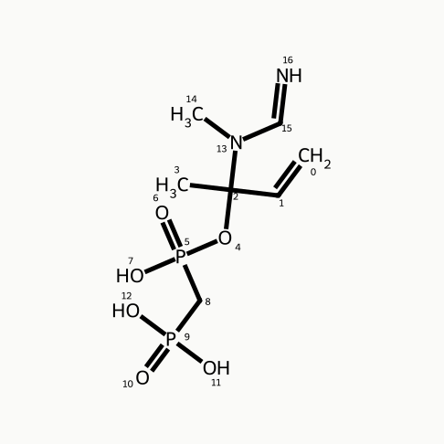 C=CC(C)(OP(=O)(O)CP(=O)(O)O)N(C)C=N